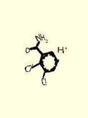 NC(=O)c1cccc(Cl)c1Cl.[H+]